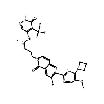 COc1cnc(-c2cc3ccn(CCC[C@H](C)Nc4cn[nH]c(=O)c4C(F)(F)F)c(=O)c3cc2F)nc1N1CCC1